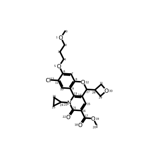 COCCCOc1cc2c(cc1Cl)-c1c(cc(C(=O)OI)c(=O)n1C1CC1)C(C1COC1)O2